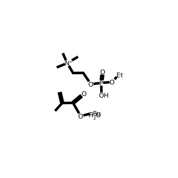 C=C(C)C(=O)OCCCC.CCOP(=O)(O)OCC[N+](C)(C)C.O